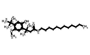 CCCCCCCCCCCCOC(=O)CC(C)(C)c1cc(OC)c(C(C)(C)C)cc1O